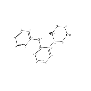 c1ccc(Oc2ccccc2C2COCCN2)cc1